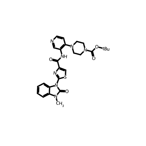 Cn1c(=O)n(-c2nc(C(=O)Nc3cnccc3N3CCN(C(=O)OC(C)(C)C)CC3)cs2)c2ccccc21